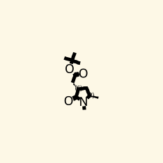 C[C@@H]1C[C@@H](CC(=O)OC(C)(C)C)C(=O)N1C